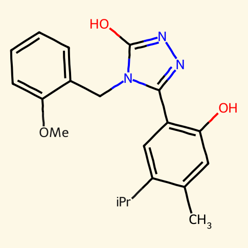 COc1ccccc1Cn1c(O)nnc1-c1cc(C(C)C)c(C)cc1O